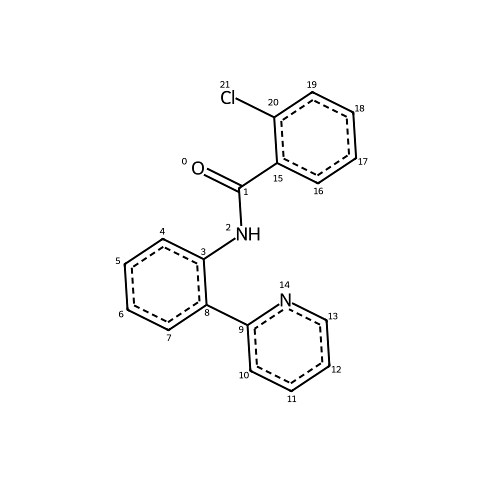 O=C(Nc1ccccc1-c1ccccn1)c1ccccc1Cl